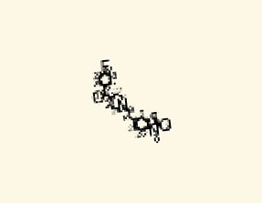 Cn1c(=O)sc2cc(CCN3CCC(C(=O)c4ccc(F)cc4)CC3)ccc21